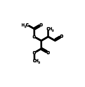 COC(=O)C(OC(C)=O)C(C)C=O